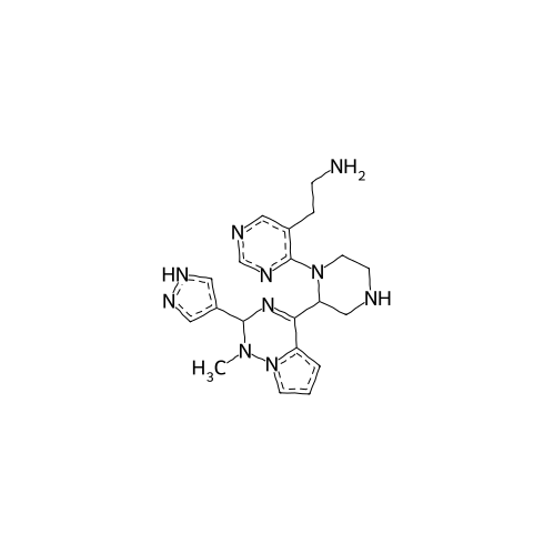 CN1C(c2cn[nH]c2)N=C(C2CNCCN2c2ncncc2CCN)c2cccn21